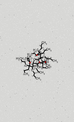 CCCOC(CCC)(CCC)[C@](CCC)(OCCC)[C@@](CCC)(O[C@](CCC)([C@H](O)[C@H](O)CO)[C@@](CCC)(OCCC)C(CCC)(CCC)OCCC)[C@H](O)[C@H](O)CO